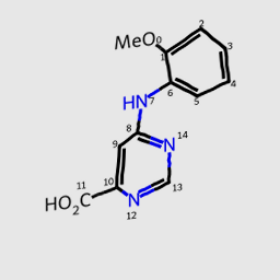 COc1ccccc1Nc1cc(C(=O)O)ncn1